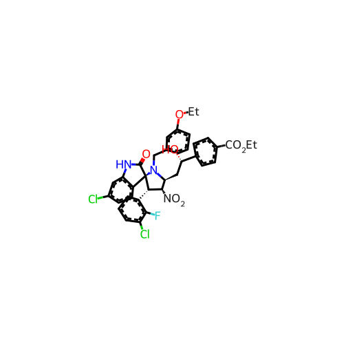 CCOC(=O)c1ccc([C@@H](O)C[C@H]2[C@@H]([N+](=O)[O-])[C@H](c3cccc(Cl)c3F)[C@]3(C(=O)Nc4cc(Cl)ccc43)N2Cc2cccc(OCC)c2)cc1